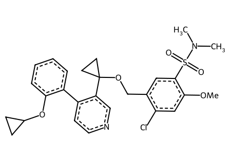 COc1cc(Cl)c(COC2(c3cnccc3-c3ccccc3OC3CC3)CC2)cc1S(=O)(=O)N(C)C